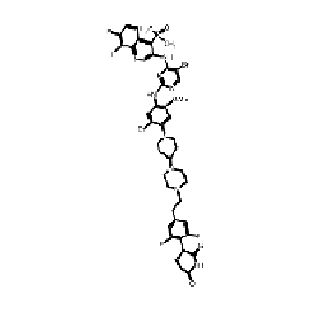 CCc1cc(Nc2ncc(Br)c(Nc3cnc4c(F)c(F)ccc4c3P(C)(C)=O)n2)c(OC)cc1N1CCC(N2CCN(CCc3cc(F)c(C4CCC(=O)NC4=O)c(F)c3)CC2)CC1